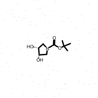 CC(C)(C)OC(=O)N1C[C@@H](O)[C@@H](O)C1